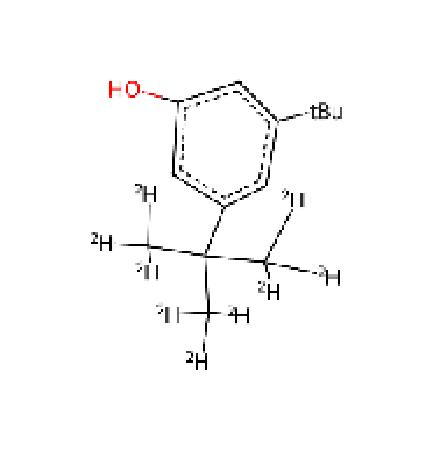 [2H]C([2H])([2H])C(c1cc(O)cc(C(C)(C)C)c1)(C([2H])([2H])[2H])C([2H])([2H])[2H]